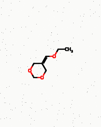 CCOC=C1COCOC1